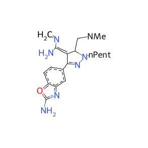 C=N/C(N)=C1/C(c2ccc3oc(N)nc3c2)=NN(CCCCC)C1CNC